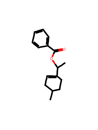 CC1CC=C(C(C)OC(=O)c2ccccc2)CC1